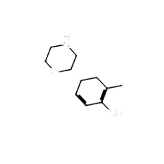 CC1=C(N)C=CC([C@H]2CNCCO2)C1